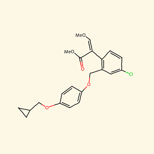 COC=C(C(=O)OC)c1ccc(Cl)cc1COc1ccc(OCC2CC2)cc1